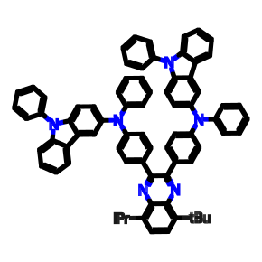 CC(C)c1ccc(C(C)(C)C)c2nc(-c3ccc(N(c4ccccc4)c4ccc5c(c4)c4ccccc4n5-c4ccccc4)cc3)c(-c3ccc(N(c4ccccc4)c4ccc5c(c4)c4ccccc4n5-c4ccccc4)cc3)nc12